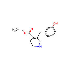 CCOC(=O)C1=C(Cc2cccc(O)c2)CNCC1